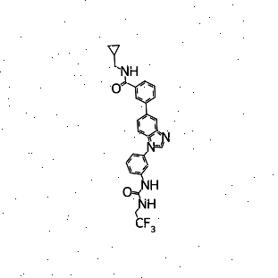 O=C(NCC(F)(F)F)Nc1cccc(-n2cnc3cc(-c4cccc(C(=O)NCC5CC5)c4)ccc32)c1